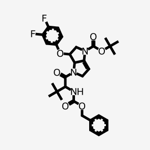 CC(C)(C)OC(=O)N1CC(Oc2ccc(F)c(F)c2)C2C1=CCN2C(=O)C(NC(=O)OCc1ccccc1)C(C)(C)C